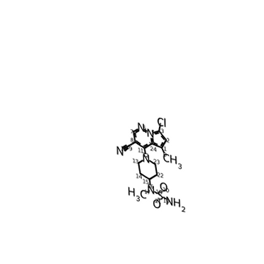 Cc1cc(Cl)n2ncc(C#N)c(N3CCC(N(C)S(N)(=O)=O)CC3)c12